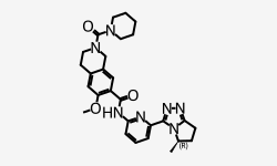 COc1cc2c(cc1C(=O)Nc1cccc(-c3nnc4n3[C@H](C)CC4)n1)CN(C(=O)N1CCCCC1)CC2